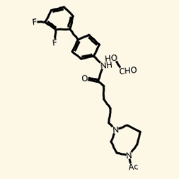 CC(=O)N1CCCN(CCCCC(=O)Nc2ccc(-c3cccc(F)c3F)cc2)CC1.O=CO